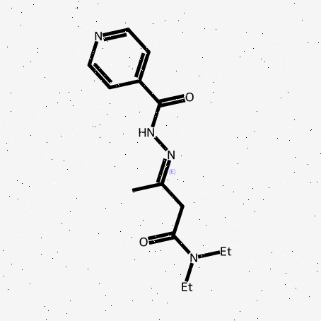 CCN(CC)C(=O)C/C(C)=N/NC(=O)c1ccncc1